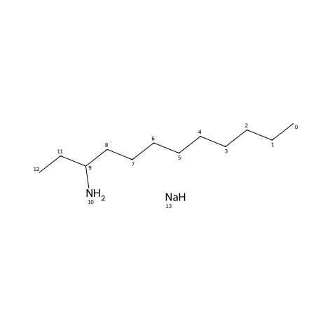 CCCCCCCCCC(N)CC.[NaH]